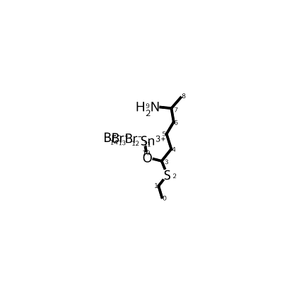 CCSC(CCCC(C)N)[O][Sn+3].[Br-].[Br-].[Br-]